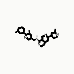 Cc1cccc(-c2ncc(CNc3nccc4cc(-c5ccnc(C)c5)ncc34)cc2C)c1